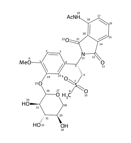 COc1ccc([C@@H](CS(C)(=O)=O)N2C(=O)c3cccc(NC(C)=O)c3C2=O)cc1OC1OC[C@@H](O)[C@H](O)[C@H]1O